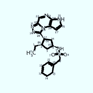 CC[C@@H]1C[C@H](NS(=O)(=O)CC2=CC=CCC2)C[C@@H]1c1nnc2cnc3[nH]ccc3n12